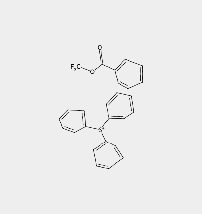 O=C(OC(F)(F)F)c1ccccc1.c1ccc([S+](c2ccccc2)c2ccccc2)cc1